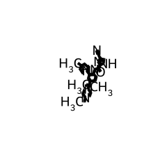 CCN1CCN(C(C)(C)c2ccc(NC(=O)c3nc(C#N)c[nH]3)c(N3CCC(C)CC3)c2)CC1